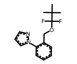 CC(C)(C)C(F)(F)OCc1ccccc1-n1cccn1